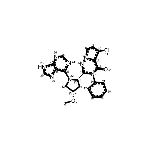 CO[C@H]1C[C@@H](c2nn3ccc(Cl)c3c(=O)n2-c2ccccc2)N(c2ncnc3[nH]cnc23)C1